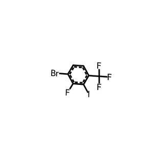 Fc1c(Br)ccc(C(F)(F)F)c1I